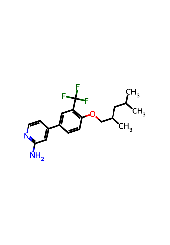 CC(C)CC(C)COc1ccc(-c2ccnc(N)c2)cc1C(F)(F)F